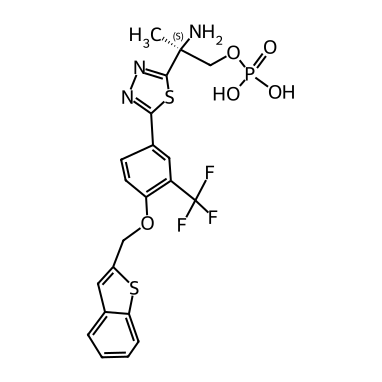 C[C@](N)(COP(=O)(O)O)c1nnc(-c2ccc(OCc3cc4ccccc4s3)c(C(F)(F)F)c2)s1